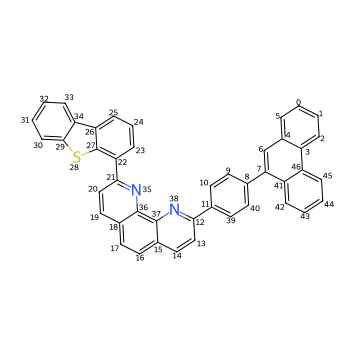 c1ccc2c(c1)cc(-c1ccc(-c3ccc4ccc5ccc(-c6cccc7c6sc6ccccc67)nc5c4n3)cc1)c1ccccc12